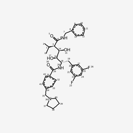 CC(C)[C@@H](C(=O)NCc1ccccc1)[C@@H](O)[C@H](O)[C@H](Cc1cc(F)cc(F)c1)NC(=O)c1ccc(CN2CCCC2)cc1